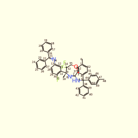 Cc1ccc(C(NC2=N[C@](C)(c3cc(N=C(c4ccccc4)c4ccccc4)ccc3F)C(F)(F)COC2)(c2ccccc2)c2ccc(C)cc2)cc1